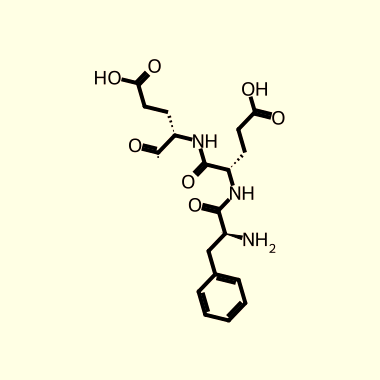 N[C@@H](Cc1ccccc1)C(=O)N[C@@H](CCC(=O)O)C(=O)N[C@H]([C]=O)CCC(=O)O